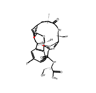 COC(=O)[C@H](CO)NC(=O)c1nc2oc1[C@@]13c4cc(F)ccc4N[C@@H]1Oc1ccc(cc13)C[C@H](C)C(=O)N[C@H]2C(C)C